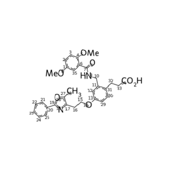 COc1ccc(OC)c(C(=O)NCc2cc(OCCc3nc(-c4ccccc4)oc3C)ccc2CCC(=O)O)c1